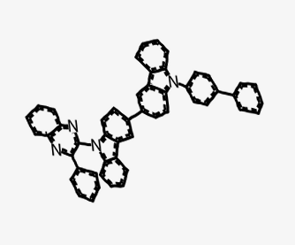 c1ccc(-c2ccc(-n3c4ccccc4c4cc(-c5ccc6c(c5)c5ccccc5n6-c5nc6ccccc6nc5-c5ccccc5)ccc43)cc2)cc1